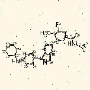 Cc1c(F)cc(C(=O)NC2CC2)cc1-c1ccc2c(cnn2-c2ccc(NC3CCOCC3)cc2)c1